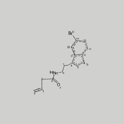 C=CCC(=O)NCCc1csc2ccc(Br)cc12